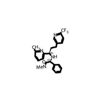 CNC(=O)[C@@H](N[C@H](CCc1ccc(C(F)(F)F)nc1)c1cccc(C)n1)c1ccccc1